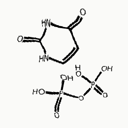 O=P(O)(O)OP(=O)(O)O.O=c1cc[nH]c(=O)[nH]1